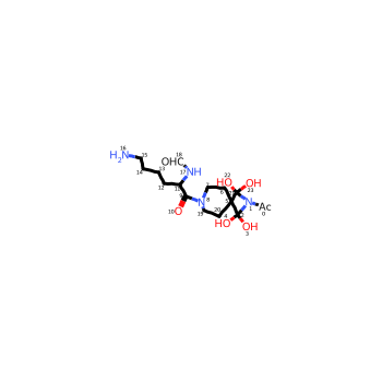 CC(=O)N1C(O)(O)C2(CCN(C(=O)C(CCCCN)NC=O)CC2)C1(O)O